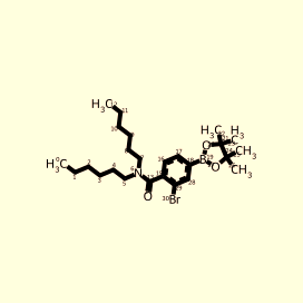 CCCCCCN(CCCCCC)C(=O)c1ccc(B2OC(C)(C)C(C)(C)O2)cc1Br